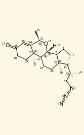 C[C@H](CN=[N+]=[N-])[C@H]1CCC2[C@H]3O[C@H](C)C4=CC(=O)CC[C@]4(C)C3CC[C@@]21C